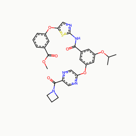 COC(=O)c1cccc(Oc2cnc(NC(=O)c3cc(Oc4cnc(C(=O)N5CCC5)cn4)cc(OC(C)C)c3)s2)c1